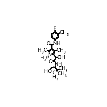 Cc1cc(NC(=O)c2c(C)c(C(O)C(=O)N[C@H](CO)C(C)(C)C)n(C)c2C)ccc1F